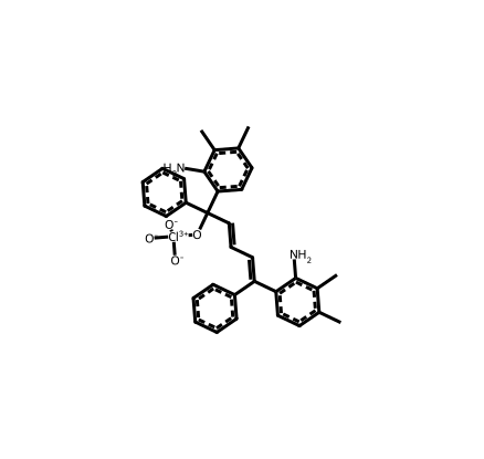 Cc1ccc(C(=CC=CC(O[Cl+3]([O-])([O-])[O-])(c2ccccc2)c2ccc(C)c(C)c2N)c2ccccc2)c(N)c1C